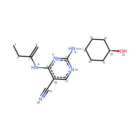 C=C(CC)Nc1nc(N[C@H]2CC[C@H](O)CC2)ncc1C#N